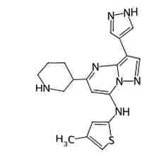 Cc1csc(Nc2cc(C3CCCNC3)nc3c(-c4cn[nH]c4)cnn23)c1